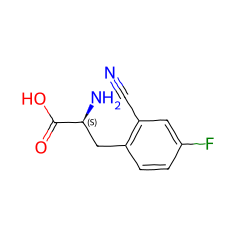 N#Cc1cc(F)ccc1C[C@H](N)C(=O)O